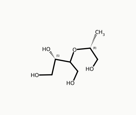 C[C@H](CO)OC(CO)[C@@H](O)CO